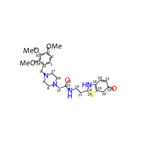 COc1ccc(CN2CCN(CC(=O)NCCC3NC4=C(CC(=O)C=C4)S3)CC2)c(OC)c1OC